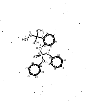 CC(C)(OO)c1ccccc1OP(=O)(Oc1ccccc1)Oc1ccccc1